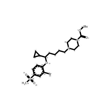 CC(C)(C)OC(=O)N1CCN(CCCCC(Oc2ccc(S(C)(=O)=O)cc2Br)C2CC2)CC1